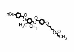 C=CC(=O)OCCCCOc1ccc(C(=O)Oc2ccc(OC(=O)c3ccc(CCCC)cc3)c(C)c2C)cc1